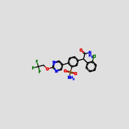 NC(=O)C(c1ccc(-c2cnc(OCC(F)(F)F)nc2)c(S(N)(=O)=O)c1)c1ccccc1Cl